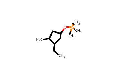 C=P(C)(C)OC1CC(C)C(CC)C1